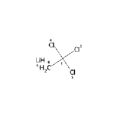 [CH2]C(Cl)(Cl)Cl.[LiH]